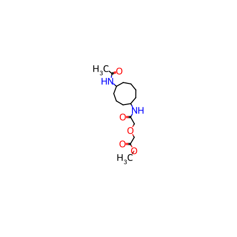 COC(=O)COCC(=O)NC1CCCCC(NC(C)=O)CCC1